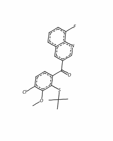 COc1c(Cl)ccc(C(=O)c2cnc3c(F)cccc3c2)c1SC(C)(C)C